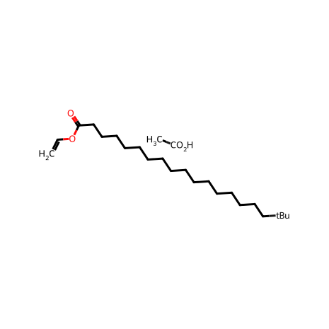 C=COC(=O)CCCCCCCCCCCCCCCCC(C)(C)C.CC(=O)O